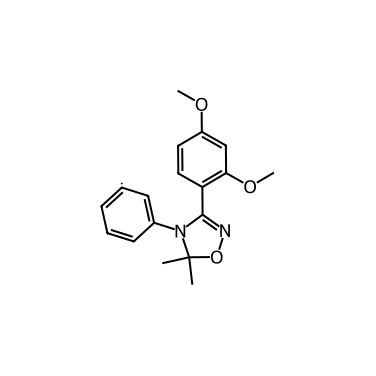 COc1ccc(C2=NOC(C)(C)N2c2c[c]ccc2)c(OC)c1